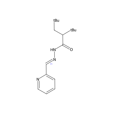 CC(C)(C)CC(C(=O)N/N=C/c1ccccn1)C(C)(C)C